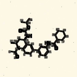 CC(=O)N1c2ccc(-c3cccc(NC(=O)C4CCCCC4)c3)cc2[C@H](NC(=O)OC(C)C)C[C@@H]1C